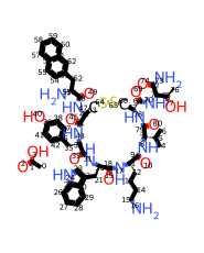 CC(=O)O.CC(C)[C@@H]1NC(=O)[C@H](CCCCN)NC(=O)[C@@H](Cc2c[nH]c3ccccc23)NC(=O)[C@H](Cc2ccc(O)cc2)NC(=O)[C@H](NC(=O)[C@H](N)Cc2ccc3ccccc3c2)CSSC[C@H](C(=O)N[C@H](C(N)=O)[C@@H](C)O)NC1=O